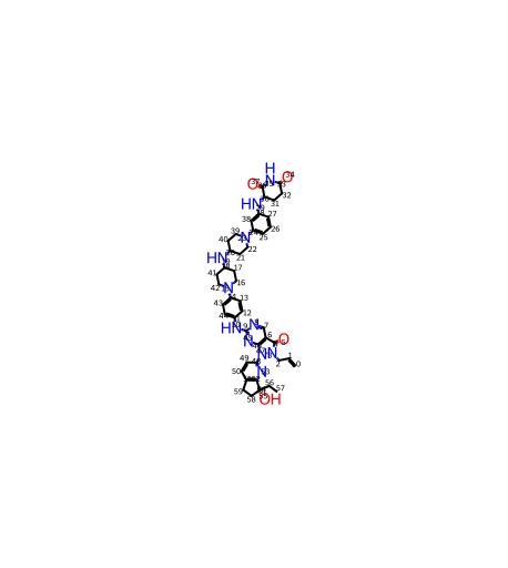 C=CCn1c(=O)c2cnc(Nc3ccc(N4CCC(NC5CCN(c6cccc(NC7CCC(=O)NC7=O)c6)CC5)CC4)cc3)nc2n1-c1ccc2c(n1)[C@@](O)(CC)CC2